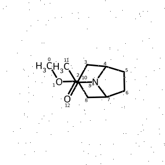 COC1CC2CCC(C1)N2C(C)=O